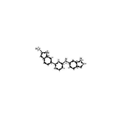 Cc1cc2ccc(-c3nccc(Nc4ccc5cn[nH]c5c4)n3)cc2[nH]1